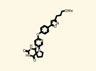 COCCCc1cc(-c2ccc(Oc3ccc(N4CCCC45C(=O)NC(=O)NC5=O)cn3)cc2)on1